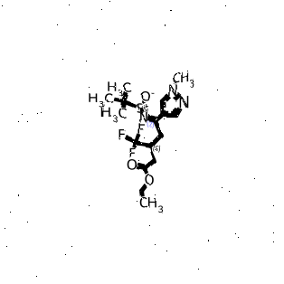 CCOC(=O)C[C@H](C/C(=N/[S@+]([O-])C(C)(C)C)c1cnn(C)c1)C(F)(F)F